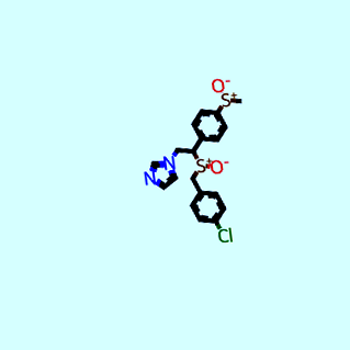 C[S+]([O-])c1ccc(C(Cn2ccnc2)[S+]([O-])Cc2ccc(Cl)cc2)cc1